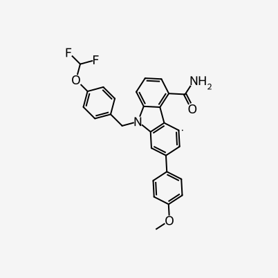 COc1ccc(-c2c[c]c3c4c(C(N)=O)cccc4n(Cc4ccc(OC(F)F)cc4)c3c2)cc1